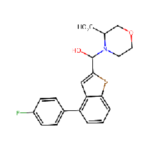 O=C(O)C1COCCN1C(O)c1cc2c(-c3ccc(F)cc3)cccc2s1